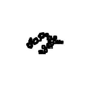 COC(=O)[C@@H]1C[C@H](Oc2cccc(C[C@H]3CC[C@](c4ccccc4)(N(C)C)CC3)c2)CN1C(=O)CNC(=O)OC(C)(C)C